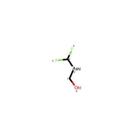 OC[AsH]C(F)F